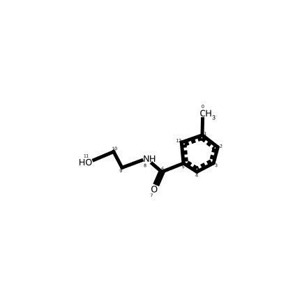 Cc1cccc(C(=O)NCCO)c1